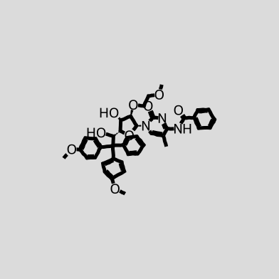 COCCO[C@@H]1[C@H](O)[C@@H](C(O)C(c2ccccc2)(c2ccc(OC)cc2)c2ccc(OC)cc2)O[C@H]1n1cc(C)c(NC(=O)c2ccccc2)nc1=O